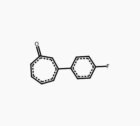 O=c1ccccc(-c2ccc(F)cc2)c1